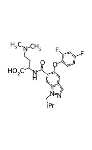 CC(C)Cn1ncc2cc(Oc3ccc(F)cc3F)c(C(=O)NC(CCN(C)C)C(=O)O)cc21